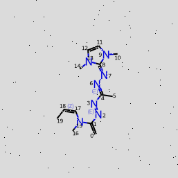 C=C(/N=N/C(C)=N/N=c1n(C)ccn1C)N(C)/C=C\C